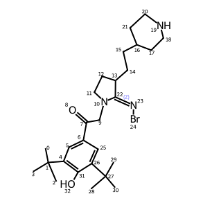 CC(C)(C)c1cc(C(=O)CN2CCC(CCC3CCNCC3)/C2=N/Br)cc(C(C)(C)C)c1O